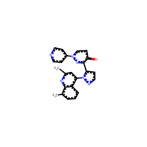 O=c1ccn(-c2ccncc2)nc1-c1ccnn1-c1cc(C(F)(F)F)nc2c(C(F)(F)F)cccc12